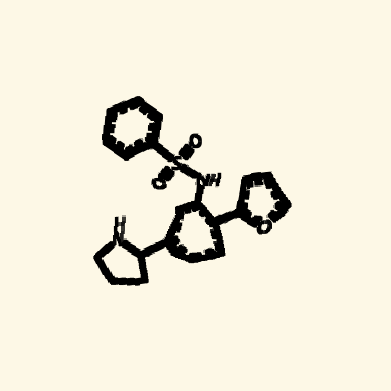 O=S(=O)(Nc1cc(C2CCCN2)ccc1-c1ccco1)c1ccccc1